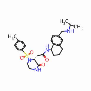 Cc1ccc(S(=O)(=O)N2CCNC(=O)[C@H]2CC(=O)N[C@@H]2CCCc3cc(CNC(C)C)ccc32)cc1